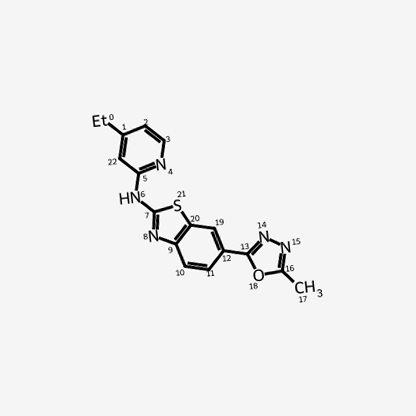 CCc1ccnc(Nc2nc3ccc(-c4nnc(C)o4)cc3s2)c1